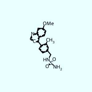 COc1ccc2c(-c3ccc(CNS(N)(=O)=O)cc3C)ccnc2c1